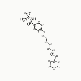 NC1(NC(=O)c2ccc(CCCCCCCOCC3CCCCC3)cc2)CC1